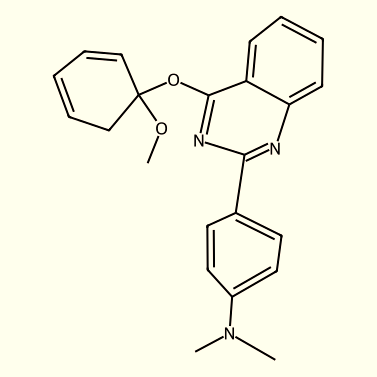 COC1(Oc2nc(-c3ccc(N(C)C)cc3)nc3ccccc23)C=CC=CC1